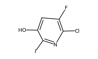 Oc1cc(F)c(Cl)nc1I